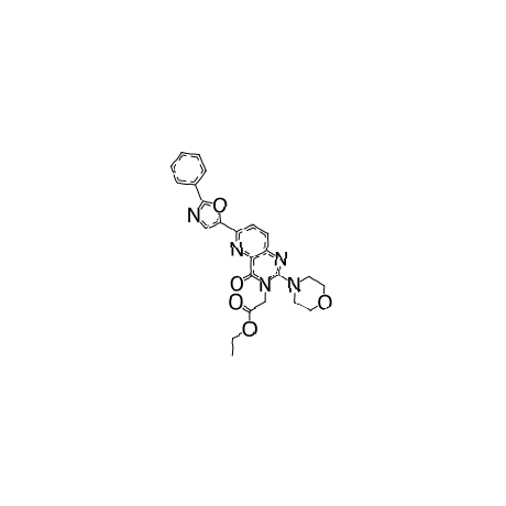 CCOC(=O)Cn1c(N2CCOCC2)nc2ccc(-c3cnc(-c4ccccc4)o3)nc2c1=O